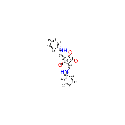 O=c1c(=O)c(=CNc2ccccc2)c(=O)c1=CNc1ccccc1